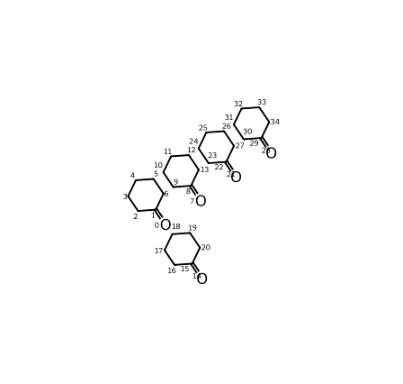 O=C1CCCCC1.O=C1CCCCC1.O=C1CCCCC1.O=C1CCCCC1.O=C1CCCCC1